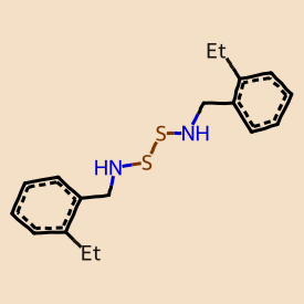 CCc1ccccc1CNSSNCc1ccccc1CC